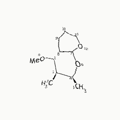 COC[C@H](C)[C@H](C)OC1CCCCO1